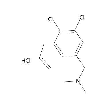 C=CC.CN(C)Cc1ccc(Cl)c(Cl)c1.Cl